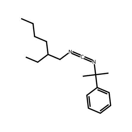 CCCCC(CC)CN=C=NC(C)(C)c1ccccc1